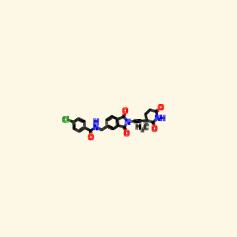 C[C@]1(C#CN2C(=O)c3ccc(CNC(=O)c4ccc(Cl)cc4)cc3C2=O)CCC(=O)NC1=O